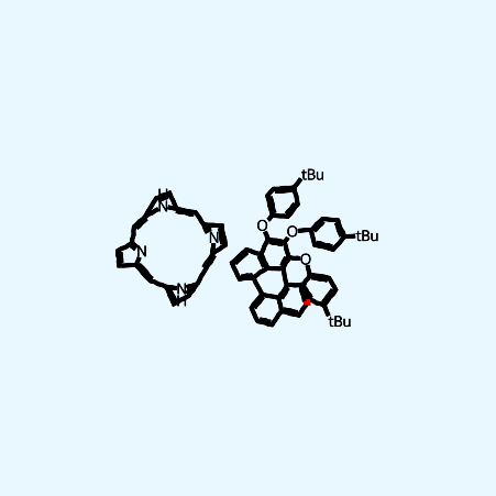 C1=Cc2cc3ccc(cc4nc(cc5ccc(cc1n2)[nH]5)C=C4)[nH]3.CC(C)(C)c1ccc(Oc2c(Oc3ccc(C(C)(C)C)cc3)c3cccc4c5cccc6cccc(c(c2Oc2ccc(C(C)(C)C)cc2)c34)c65)cc1